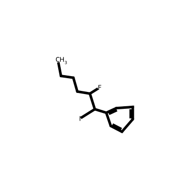 CCCCC(F)C(I)c1ccccc1